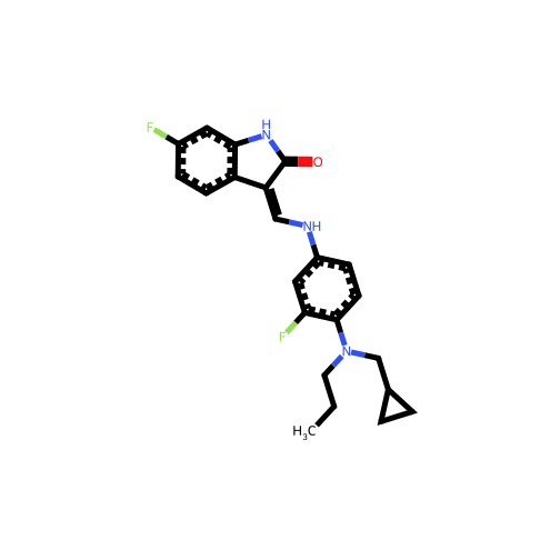 CCCN(CC1CC1)c1ccc(NC=C2C(=O)Nc3cc(F)ccc32)cc1F